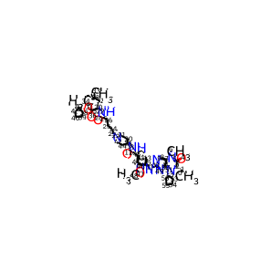 CC[C@H]1C(=O)N(C)c2cnc(Nc3ccc(C(=O)NC4CCN(CCCCC(=O)N[C@H](CC(C)C)C(=O)OC5CCCC5)CC4)cc3OC)nc2N1C1CCCC1